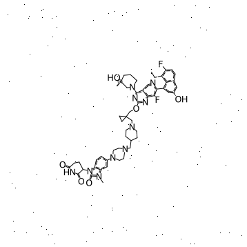 CCc1c(F)ccc2cc(O)cc(-c3ncc4c(N5CCC[C@@](C)(O)C5)nc(OCC5(CN6CCC(CN7CCN(c8ccc9c(c8)n(C)c(=O)n9C8CCC(=O)NC8=O)CC7)CC6)CC5)nc4c3F)c12